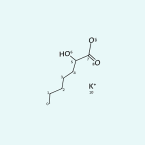 CCCCCC(O)C(=O)[O-].[K+]